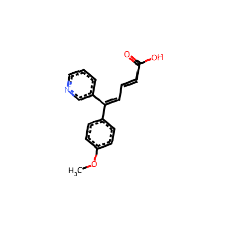 COc1ccc(C(=CC=CC(=O)O)c2cccnc2)cc1